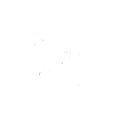 O=S(=O)(Nc1cc(C(F)(F)F)cc(C(F)(F)F)c1)c1ccc(Br)s1